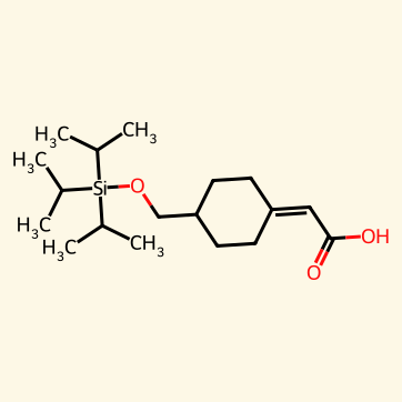 CC(C)[Si](OCC1CCC(=CC(=O)O)CC1)(C(C)C)C(C)C